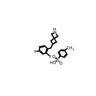 Cc1ccc(S(=O)(=O)O)cc1.Fc1ccc(CC2CC3(CNC3)C2)c(F)c1